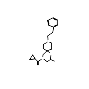 CC1CN(C(=O)C2CC2)CC2(CCN(CCc3ccccc3)CC2)O1